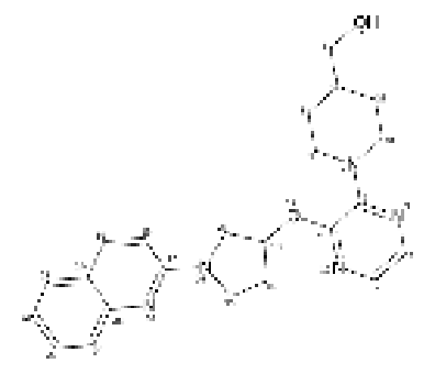 OCC1CCN(c2nccnc2OC2CCN(c3ccc4ccccc4n3)C2)CC1